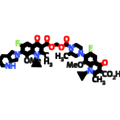 COc1c(N2CCN(C(=O)OCOC(=O)c3c(C)n(C4CC4)c4c(OC)c(N5CC6CCCNC6C5)c(F)cc4c3=O)C(C)C2)c(F)cc2c(=O)c(C(=O)O)c(C)n(C3CC3)c12